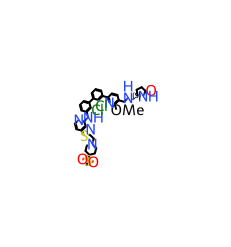 COc1nc(-c2cccc(-c3cccc(Nc4nccc5sc(CN6CCC(S(C)(=O)=O)CC6)nc45)c3Cl)c2Cl)ccc1CNC[C@@H]1CCC(=O)N1